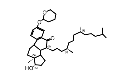 CC(C)CCC[C@@H](C)CCC[C@@H](C)CCC[C@@H]1C(=O)c2cc(OC3CCCCO3)ccc2C2CC[C@@]3(C)C(CC[C@@H]3O)C21